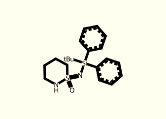 CC(C)(C)[Si](N=S1(=O)CCCCN1)(c1ccccc1)c1ccccc1